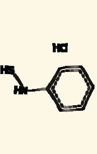 Cl.SNc1ccccc1